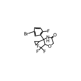 O=C1COC(C(F)(F)F)C(c2cc(Br)ccc2F)(C2CC2)N1